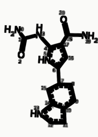 NC(=O)Nc1[nH]c(-c2ccc3cc[nH]c3c2)cc1C(N)=O